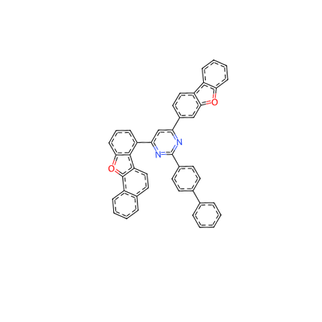 c1ccc(-c2ccc(-c3nc(-c4ccc5c(c4)oc4ccccc45)cc(-c4cccc5oc6c7ccccc7ccc6c45)n3)cc2)cc1